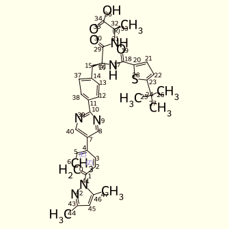 C=C(/C=C\C(=C/C)c1cnc(-c2ccc(C[C@H](NC(=O)c3ccc(C(C)(C)C)s3)C(=O)N[C@H](C)C(=O)O)cc2)nc1)n1nc(C)cc1C